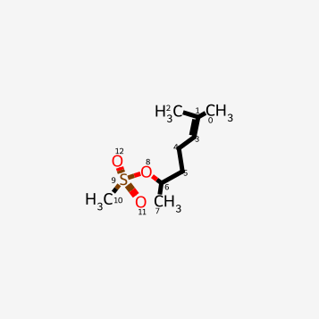 CC(C)=CCCC(C)OS(C)(=O)=O